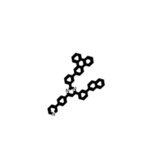 C1=C=Cc2c(c3ccccc3c3cc(-c4cccc(-c5nc(-c6ccc(-c7cccnc7)cc6)cc(-c6cccc(-c7ccc8ccccc8c7)c6)n5)c4)ccc23)C=1